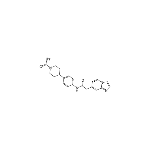 CC(C)C(=O)N1CCC(c2ccc(NC(=O)Cc3ccn4ccnc4c3)cc2)CC1